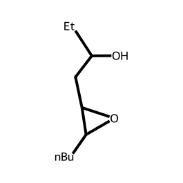 CCCCC1OC1CC(O)CC